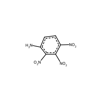 Nc1ccc([N+](=O)[O-])c([N+](=O)[O-])c1[N+](=O)[O-]